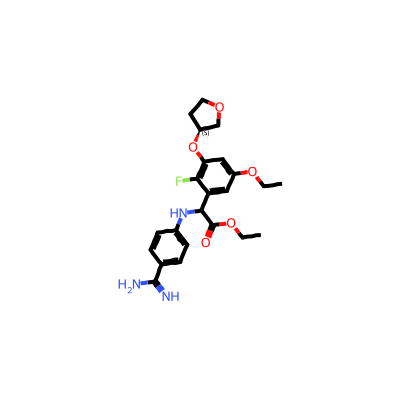 CCOC(=O)C(Nc1ccc(C(=N)N)cc1)c1cc(OCC)cc(O[C@H]2CCOC2)c1F